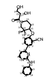 N#Cc1cc(-c2ccnc(Nc3ccccc3)n2)ccc1OC1CCN(C(=O)[C@@H](O)CO)CC1(F)F